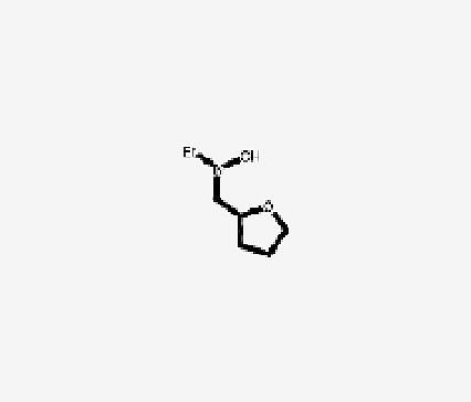 CCN(O)CC1CCCO1